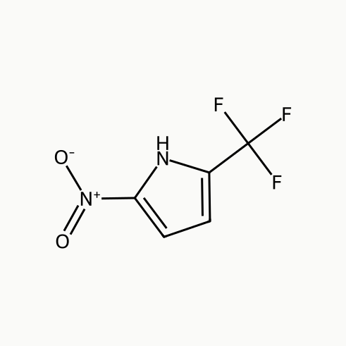 O=[N+]([O-])c1ccc(C(F)(F)F)[nH]1